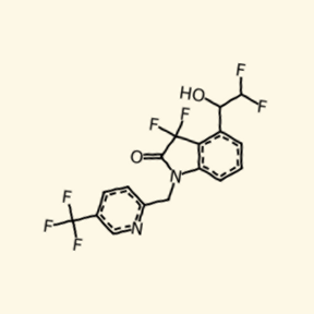 O=C1N(Cc2ccc(C(F)(F)F)cn2)c2cccc(C(O)C(F)F)c2C1(F)F